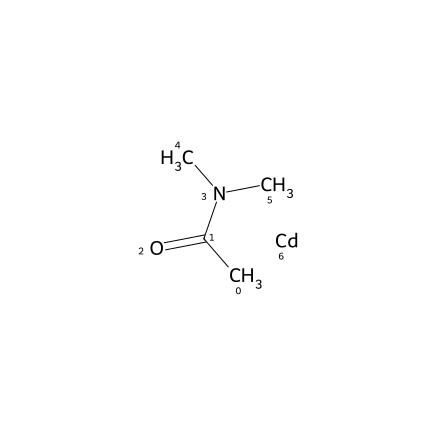 CC(=O)N(C)C.[Cd]